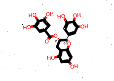 O=C(O[C@H]1Cc2c(O)cc(O)cc2O[C@H]1c1cc(O)c(O)c(O)c1)c1cc(O)c(O)c(O)c1